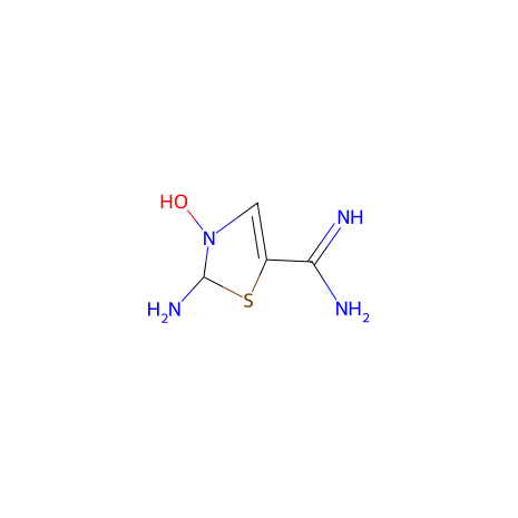 N=C(N)C1=CN(O)C(N)S1